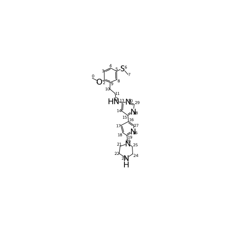 COc1ccc(SC)cc1CCNc1cc(-c2ccc(N3CCNCC3)nc2)ncn1